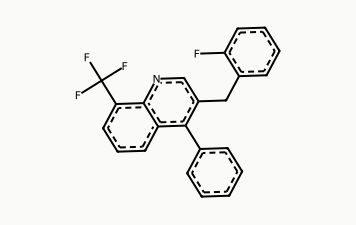 Fc1ccccc1Cc1cnc2c(C(F)(F)F)cccc2c1-c1ccccc1